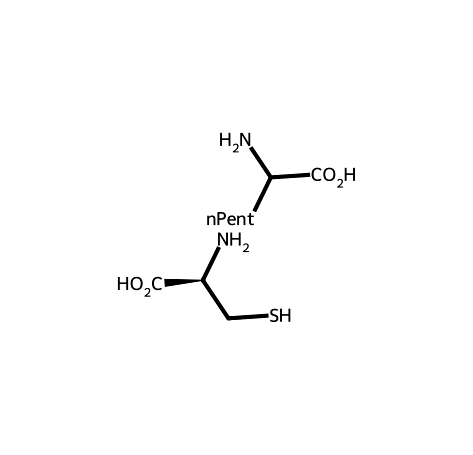 CCCCCC(N)C(=O)O.N[C@@H](CS)C(=O)O